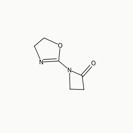 O=C1CCN1C1=NCCO1